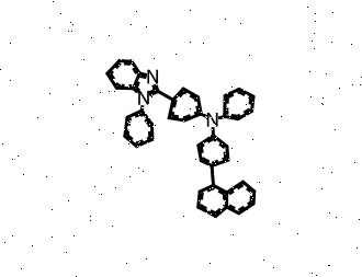 c1ccc(N(c2ccc(-c3cccc4ccccc34)cc2)c2ccc(-c3nc4ccccc4n3-c3ccccc3)cc2)cc1